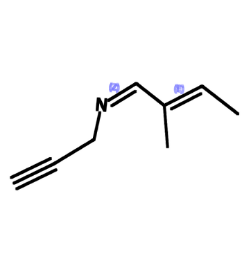 C#CC/N=C\C(C)=C\C